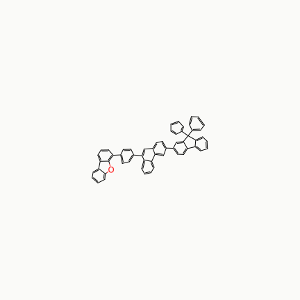 c1ccc(C2(c3ccccc3)c3ccccc3-c3ccc(-c4ccc5cc(-c6ccc(-c7cccc8c7oc7ccccc78)cc6)c6ccccc6c5c4)cc32)cc1